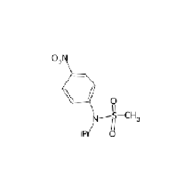 CC(C)N(c1ccc([N+](=O)[O-])cc1)S(C)(=O)=O